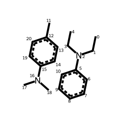 CCN(CC)c1ccccc1.Cc1ccc(N(C)C)cc1